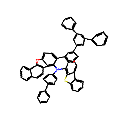 c1ccc(-c2ccc(N(c3cccc4c3sc3ccccc34)c3c(-c4cccc(-c5cc(-c6ccccc6)cc(-c6ccccc6)c5)c4)ccc4oc5c6ccccc6ccc5c34)cc2)cc1